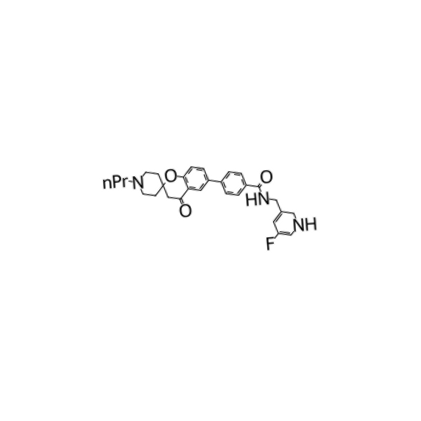 CCCN1CCC2(CC1)CC(=O)c1cc(-c3ccc(C(=O)NCC4=CC(F)=CNC4)cc3)ccc1O2